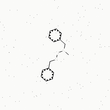 CN(Cc1ccccc1)NNCc1ccccc1